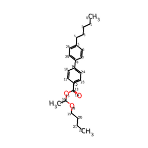 CCCCCc1ccc(-c2ccc(C(=O)OC(C)OCCCC)cc2)cc1